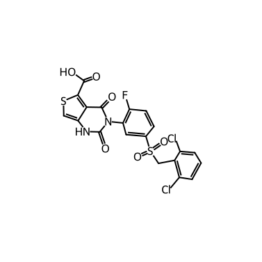 O=C(O)c1scc2[nH]c(=O)n(-c3cc(S(=O)(=O)Cc4c(Cl)cccc4Cl)ccc3F)c(=O)c12